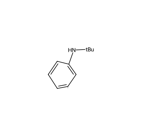 CC(C)(C)Nc1c[c]ccc1